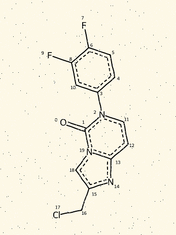 O=c1n(-c2ccc(F)c(F)c2)ccc2nc(CCl)cn12